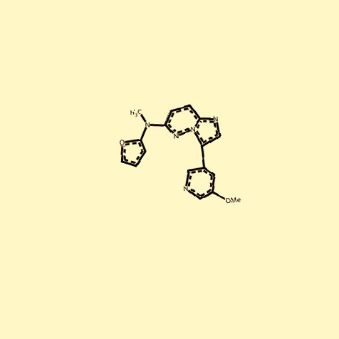 COc1cncc(-c2cnc3ccc(N(C)c4ccco4)nn23)c1